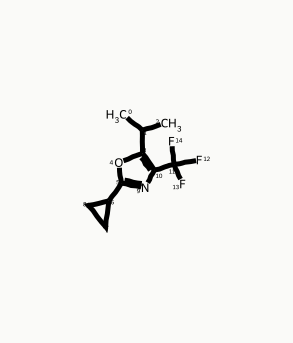 CC(C)c1oc(C2CC2)nc1C(F)(F)F